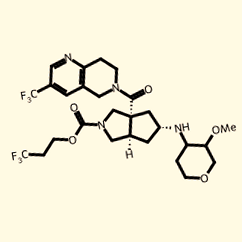 COC1COCCC1N[C@@H]1C[C@H]2CN(C(=O)OCCC(F)(F)F)C[C@@]2(C(=O)N2CCc3ncc(C(F)(F)F)cc3C2)C1